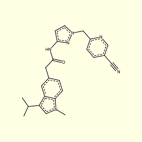 CC(C)c1cn(C)c2ccc(CC(=O)Nc3ccn(Cc4ccc(C#N)cn4)n3)cc12